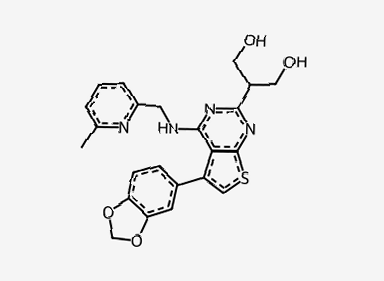 Cc1cccc(CNc2nc(C(CO)CO)nc3scc(-c4ccc5c(c4)OCO5)c23)n1